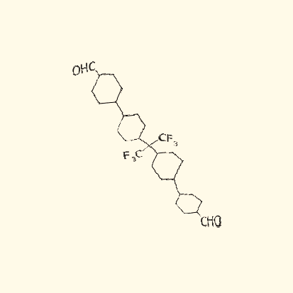 O=CC1CCC(C2CCC(C(C3CCC(C4CCC(C=O)CC4)CC3)(C(F)(F)F)C(F)(F)F)CC2)CC1